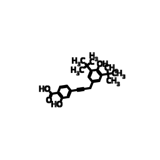 CC(C)(C)c1cc(CC#Cc2ccc(C(=O)O)c(O)c2)cc(C(C)(C)C)c1O